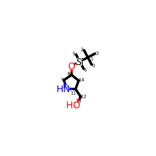 CC(C)(C)[Si](C)(C)OC1CNC(CO)C1